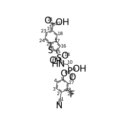 N#Cc1ccc(OP(=O)(O)CNS(=O)(=O)c2cc3cc(C(=O)O)ccc3s2)cc1F